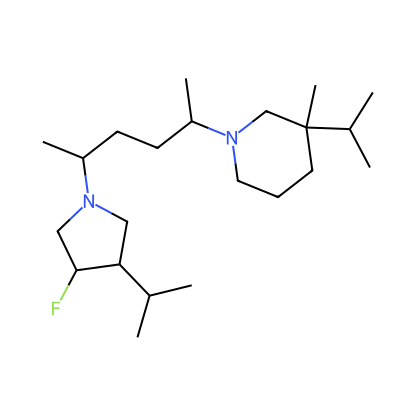 CC(C)C1CN(C(C)CCC(C)N2CCCC(C)(C(C)C)C2)CC1F